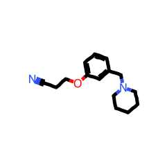 N#CCCOc1cccc(CN2CCCCC2)c1